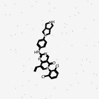 C=Cc1cn(-c2c(Cl)cccc2Cl)c(=O)c2cnc(Nc3ccc(N4CC5CNCC5C4)cc3)nc12